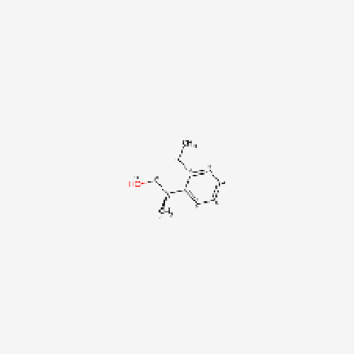 CCc1ccccc1[C@@H](C)CO